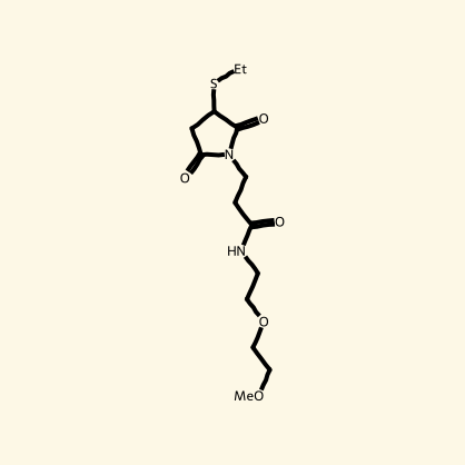 CCSC1CC(=O)N(CCC(=O)NCCOCCOC)C1=O